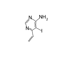 C=Cc1ncnc(N)c1I